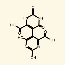 O=C(O)c1nc(O)nc(O)c1-c1c(C(=O)O)[nH]c(=O)[nH]c1=O